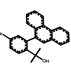 CC(C)(O)c1ccc(Br)cc1-c1cc2ccccc2c2ccccc12